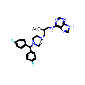 CC(=O)OC(CNc1ncnc2[nH]cnc12)CN1CCN(C(c2ccc(F)cc2)c2ccc(F)cc2)CC1